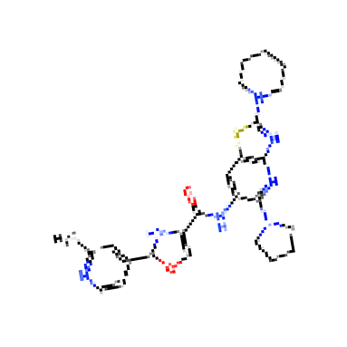 Cc1cc(C2NC(C(=O)Nc3cc4sc(N5CCCCC5)nc4nc3N3CCCC3)=CO2)ccn1